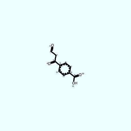 O=CCC(=O)c1ccc(C(=O)O)cc1